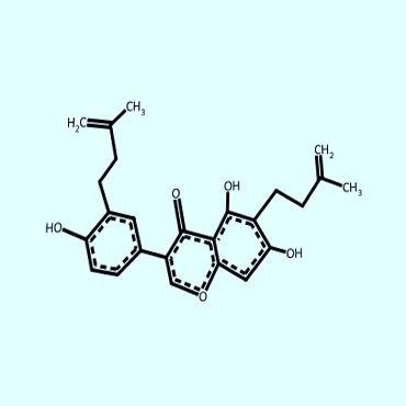 C=C(C)CCc1cc(-c2coc3cc(O)c(CCC(=C)C)c(O)c3c2=O)ccc1O